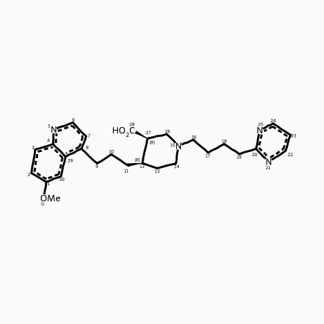 COc1ccc2nccc(CCC[C@@H]3CCN(CCCCc4ncccn4)C[C@@H]3C(=O)O)c2c1